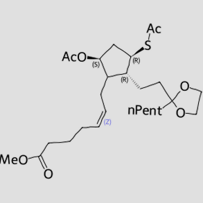 CCCCCC1(CC[C@@H]2C(C/C=C\CCCC(=O)OC)[C@@H](OC(C)=O)C[C@H]2SC(C)=O)OCCO1